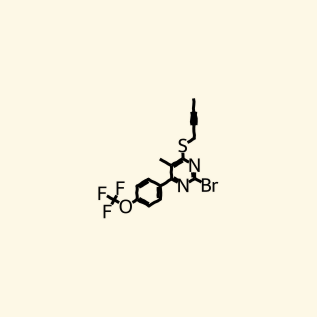 CC#CCSc1nc(Br)nc(-c2ccc(OC(F)(F)F)cc2)c1C